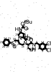 CC(C)C[C@H](C(=O)NCc1ccc(Cl)c(Cl)c1)N1CCC(C[S+]([O-])c2ccccc2)N2C[C@H](NC(=O)OC(C)(C)C)C[C@H]2C1=O